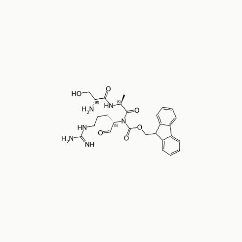 C[C@H](NC(=O)[C@H](N)CO)C(=O)N(C(=O)OCC1c2ccccc2-c2ccccc21)[C@H](C=O)CCCNC(=N)N